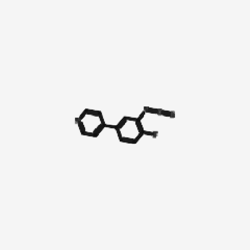 Fc1ccc(-c2ccncc2)cc1N=C=S